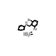 Brc1ccc[c]([Pd])c1CNc1ccccc1.CC(=O)O.CC(=O)O